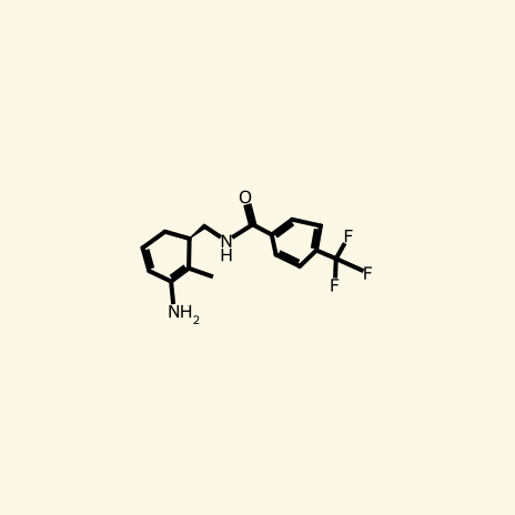 CC1=C(N)C=CC[C@H]1CNC(=O)c1ccc(C(F)(F)F)cc1